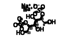 O=S(=O)([O-])O[C@H](CO)[C@@H](O)[C@H](O)[C@@H](CO)OS(=O)(=O)[O-].[Na+].[Na+]